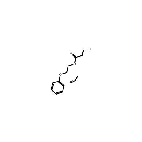 CCCC.O=C(O)CC(=O)OCCOc1ccccc1